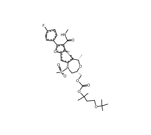 CNC(=O)c1c(-c2ccc(F)cc2)oc2cc3c(cc12)[C@H](C)O[C@H](COC(=O)OC(C)(C)CCOC(C)(C)C)CN3S(C)(=O)=O